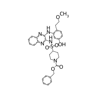 COCCc1ccc(O)cc1Nc1nc2ccccc2nc1NS(=O)(=O)C1CCN(C(=O)OCc2ccccc2)CC1